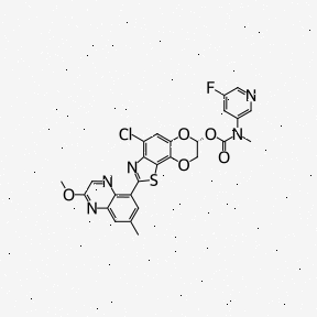 COc1cnc2c(-c3nc4c(Cl)cc5c(c4s3)OC[C@@H](OC(=O)N(C)c3cncc(F)c3)O5)cc(C)cc2n1